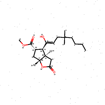 CCCCC(C)(C)CC=C(O)[C@H]1[C@H]2CC(=O)O[C@@H]2C[C@@H]1C(=O)OC